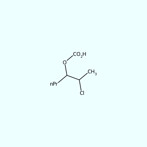 CCCC(OC(=O)O)C(C)Cl